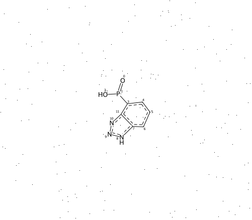 O=[P](O)c1cccc2[nH]nnc12